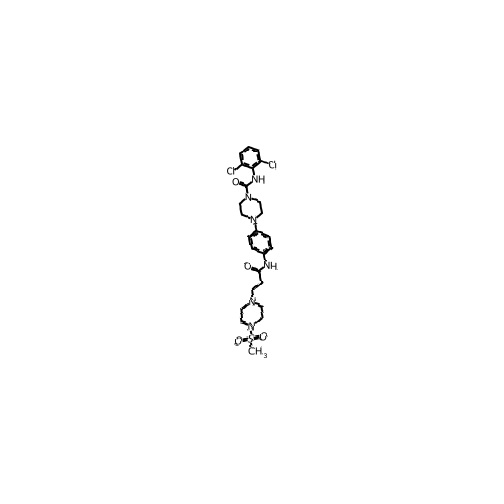 CS(=O)(=O)N1CCN(CCC(=O)Nc2ccc(N3CCN(C(=O)Nc4c(Cl)cccc4Cl)CC3)cc2)CC1